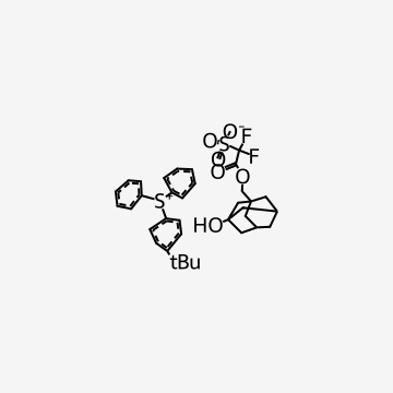 CC(C)(C)c1ccc([S+](c2ccccc2)c2ccccc2)cc1.O=C(OCC12CC3CC(CC(O)(C3)C1)C2)C(F)(F)S(=O)(=O)[O-]